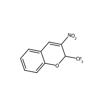 O=[N+]([O-])C1=Cc2ccccc2OC1C(F)(F)F